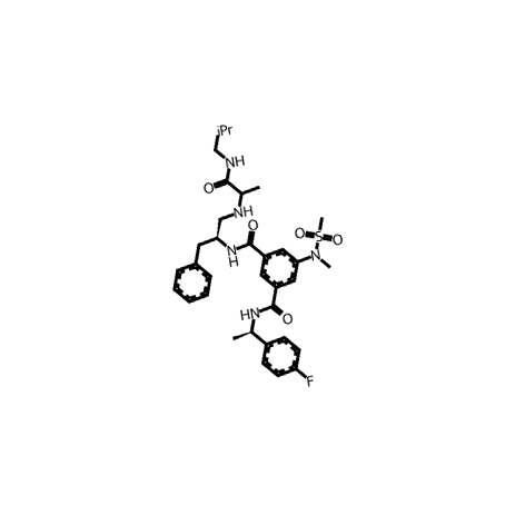 CC(C)CNC(=O)C(C)NC[C@H](Cc1ccccc1)NC(=O)c1cc(C(=O)N[C@H](C)c2ccc(F)cc2)cc(N(C)S(C)(=O)=O)c1